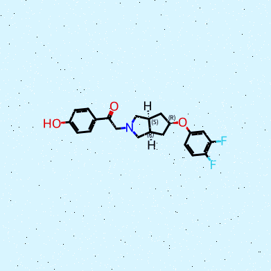 O=C(CN1C[C@H]2C[C@@H](Oc3ccc(F)c(F)c3)C[C@H]2C1)c1ccc(O)cc1